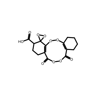 O=C1OOC(=O)C2=C(OOC3=C1CCCC3)C1(OO1)C(C(=O)O)CC2